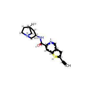 C#Cc1cc2cnc(C(=O)N[C@@H]3C[C@@H]4CCN(C4)C3)cc2s1